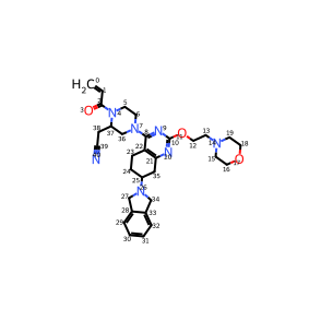 C=CC(=O)N1CCN(c2nc(OCCN3CCOCC3)nc3c2CCC(N2Cc4ccccc4C2)C3)CC1CC#N